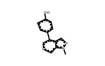 Cn1ncc2c(-c3ccc(C=O)cc3)cncc21